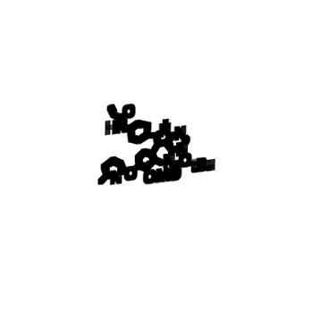 C=CC(=O)Nc1ccc(-c2c3c4c(ncnc4n2C)N(C(=O)OC(C)(C)C)Cc2c-3ccc(Oc3cccc(C)n3)c2OC)cc1